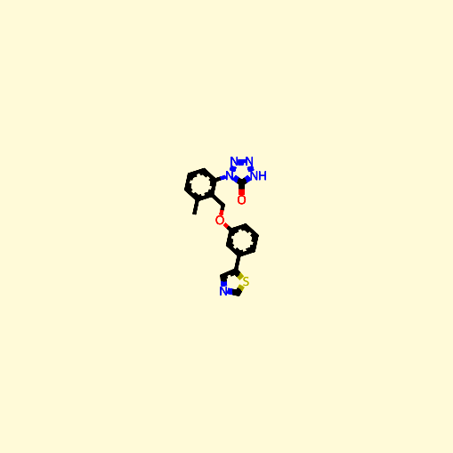 Cc1cccc(-n2nn[nH]c2=O)c1COc1cccc(-c2cncs2)c1